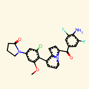 COc1cc(N2CCCC2=O)cc(Cl)c1-c1cccn2c(C(=O)c3cc(F)c(N)c(F)c3)ccc12